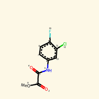 COC(=O)C(=O)Nc1ccc(F)c(Cl)c1